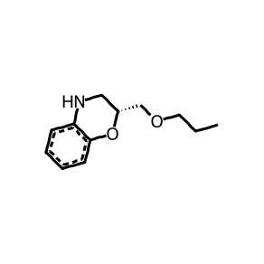 CCCOC[C@H]1CNc2ccccc2O1